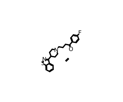 C=C.O=C(CCCN1CCC(c2nsc3ccccc23)CC1)c1ccc(F)cc1